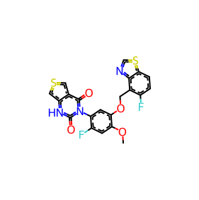 COc1cc(F)c(-n2c(=O)[nH]c3cscc3c2=O)cc1OCc1c(F)ccc2scnc12